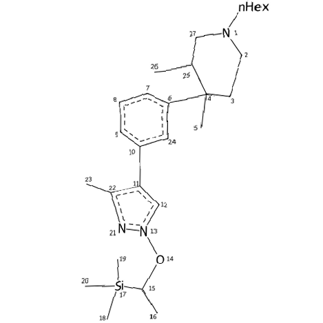 CCCCCCN1CCC(C)(c2cccc(-c3cn(OC(C)[Si](C)(C)C)nc3C)c2)C(C)C1